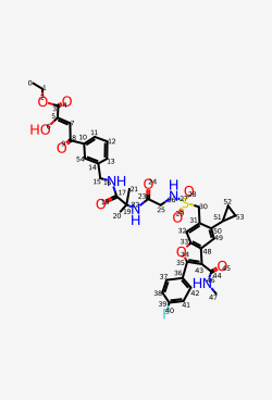 CCOC(=O)/C(O)=C/C(=O)c1cccc(CNC(=O)C(C)(C)NC(=O)CNS(=O)(=O)Cc2cc3oc(-c4ccc(F)cc4)c(C(=O)NC)c3cc2C2CC2)c1